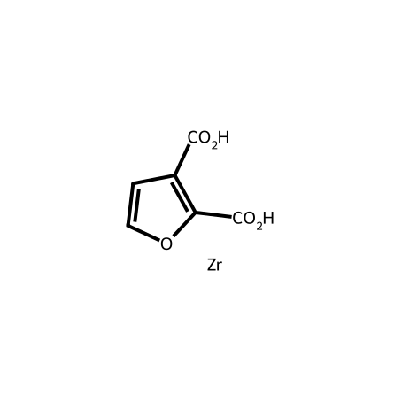 O=C(O)c1ccoc1C(=O)O.[Zr]